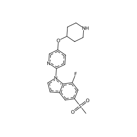 CS(=O)(=O)c1cc(F)c2c(ccn2-c2ccc(OC3CCNCC3)cn2)c1